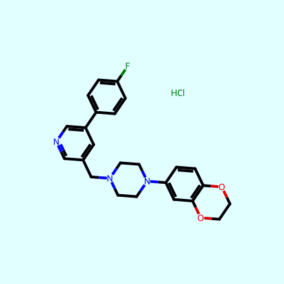 Cl.Fc1ccc(-c2cncc(CN3CCN(c4ccc5c(c4)OCCO5)CC3)c2)cc1